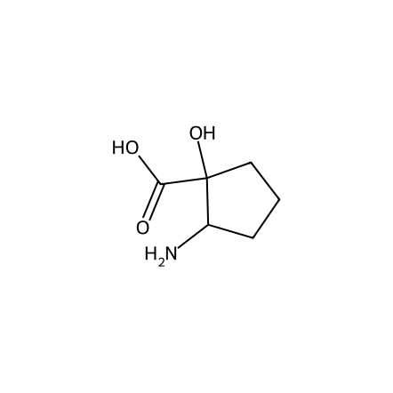 NC1CCCC1(O)C(=O)O